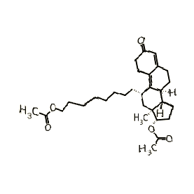 CC(=O)OCCCCCCCC[C@H]1C[C@]2(C)[C@@H](OC(C)=O)CC[C@H]2[C@@H]2CCC3=CC(=O)CCC3=C12